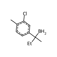 BC(C)(CC)c1ccc(C)c(Cl)c1